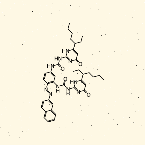 CCCCC(CC)c1cc(=O)nc(NC(=O)Nc2ccc(/N=N/c3ccc4ccccc4c3)c(NC(=O)Nc3nc(=O)cc(C(CC)CCCC)[nH]3)c2)[nH]1